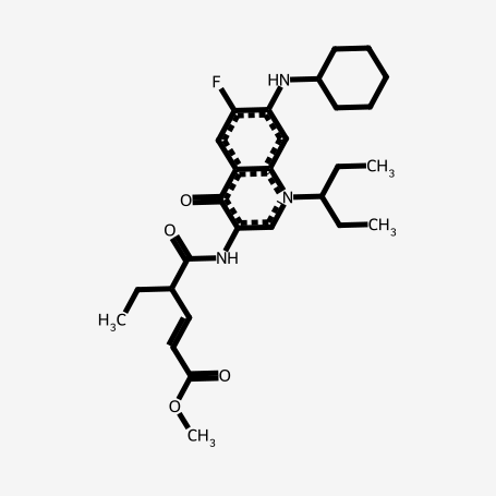 CCC(/C=C/C(=O)OC)C(=O)Nc1cn(C(CC)CC)c2cc(NC3CCCCC3)c(F)cc2c1=O